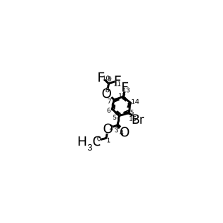 CCOC(=O)c1cc(OC(F)F)c(F)cc1Br